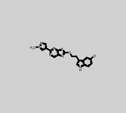 Cn1cc(-c2ncc3nc(OCCc4c[nH]c5ccc(Cl)cc45)sc3n2)cn1